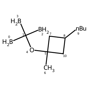 BC(B)(B)OC1(C)CC(CCCC)C1